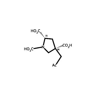 CC(=O)C[C@]1(C(=O)O)C[C@@H](C(=O)O)N(C(=O)O)C1